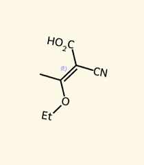 CCO/C(C)=C(\C#N)C(=O)O